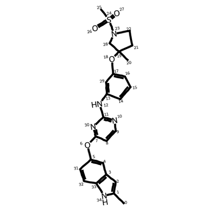 Cc1cc2cc(Oc3ccnc(Nc4cccc(OC5(C)CCN(S(C)(=O)=O)C5)c4)n3)ccc2[nH]1